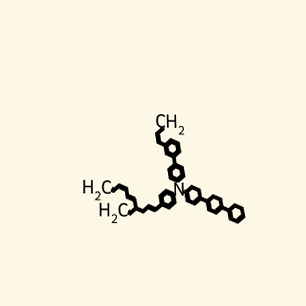 C=C/C=C\C=C\C(C=C)C/C=C/c1ccc(N(C2=CC=C(C3=CC=C(C4=CC=CCC4)CC3)CC2)c2ccc(-c3cccc(/C=C\C=C)c3)cc2)cc1